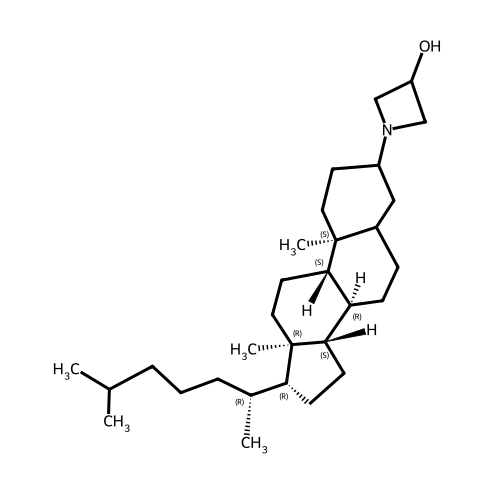 CC(C)CCC[C@@H](C)[C@H]1CC[C@H]2[C@@H]3CCC4CC(N5CC(O)C5)CC[C@]4(C)[C@H]3CC[C@]12C